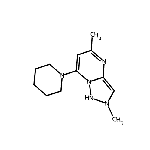 CC1=NC2=CN(C)NN2C(N2CCCCC2)=C1